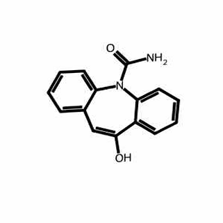 NC(=O)N1c2ccccc2C=C(O)c2ccccc21